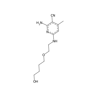 Cc1cc(NCCOCCCCO)nc(N)c1C#N